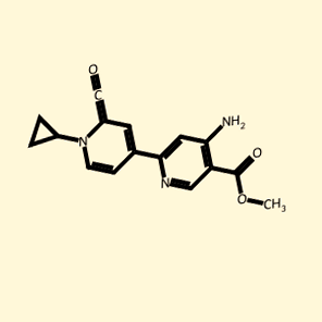 COC(=O)c1cnc(C2=CC(=C=O)N(C3CC3)C=C2)cc1N